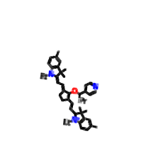 CCN1/C(=C/C=C2\CCC(/C=C/C3=[N+](CC)c4ccc(C)cc4C3(C)C)=C2OC(c2ccncc2)C(C)C)C(C)(C)c2cc(C)ccc21